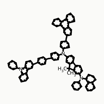 CC1(C)c2cc(N(c3ccc(-c4ccc(-c5ccc6c(c5)c5ccccc5n6-c5ccccc5)cc4)cc3)c3ccc(-c4ccc5c6ccccc6c6ccccc6c5c4)cc3)ccc2-c2ccc(N(c3ccccc3)c3cccc4ccccc34)cc21